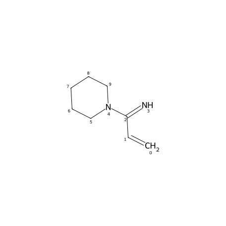 C=CC(=N)N1CCCCC1